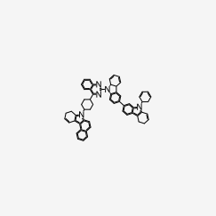 C1=CCC(n2c3c(c4ccc(-c5ccc6c(c5)C5C=CC=CC5N6c5nc(C6CCC(n7c8c(c9c%10ccccc%10ccc97)C=CCC8)CC6)c6ccccc6n5)cc42)CCC=C3)C=C1